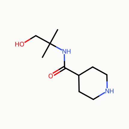 CC(C)(CO)NC(=O)C1CCNCC1